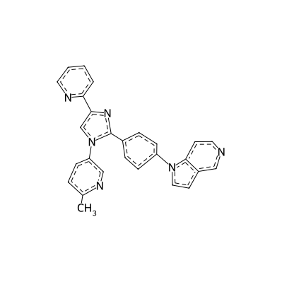 Cc1ccc(-n2cc(-c3ccccn3)nc2-c2ccc(-n3ccc4cnccc43)cc2)cn1